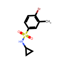 Cc1cc(S(=O)(=O)N[C]2CC2)ccc1Br